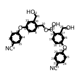 N#Cc1ccc(Oc2ccc(COB(O)c3ccc(Oc4ccc(C#N)cc4)cc3CO)c(CO)c2)cc1